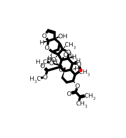 C=C(C)C(=O)O[C@@H]1CC[C@]23CO[C@](OC)(C(=O)OC)[C@H]2[C@@]2(C)[C@H](O[C@]4(C)C5C[C@H](O[C@@H]6OC=C[C@]56O)[C@]24O)[C@@H]2OC[C@@]1(C)[C@H]23